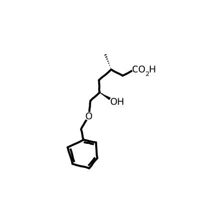 C[C@H](CC(=O)O)C[C@@H](O)COCc1ccccc1